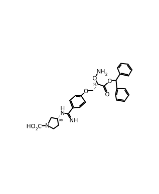 N=C(N[C@@H]1CCN(C(=O)O)C1)c1ccc(OC[C@H](ON)C(=O)OC(c2ccccc2)c2ccccc2)cc1